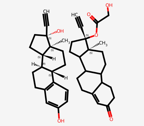 C#C[C@]1(O)CC[C@H]2[C@@H]3CCc4cc(O)ccc4[C@H]3CC[C@@]21C.C#C[C@]1(OC(=O)CO)CCC2C3CCC4=CC(=O)CCC4C3CC[C@@]21C